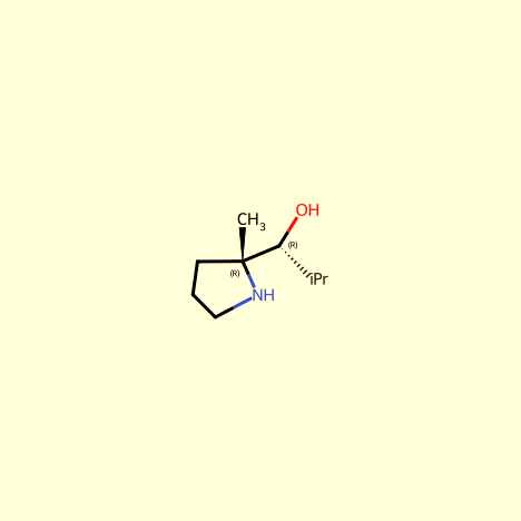 CC(C)[C@@H](O)[C@@]1(C)CCCN1